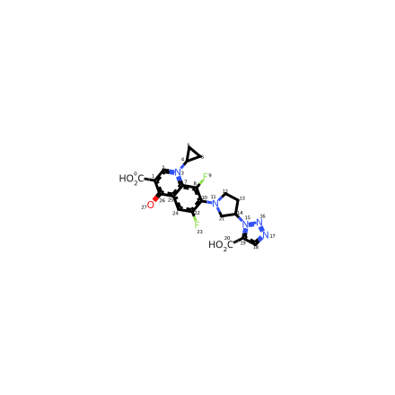 O=C(O)c1cn(C2CC2)c2c(F)c(N3CCC(n4nncc4C(=O)O)C3)c(F)cc2c1=O